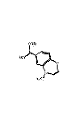 CCOC(=O)C(O)c1ccc2c(c1)N(C)CCO2